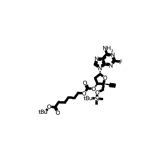 C#C[C@]1(CO[Si](C)(C)C(C)(C)C)O[C@@H](n2cnc3c(N)nc(F)nc32)C[C@@H]1OC(=O)OCCCCCC(=O)OC(C)(C)C